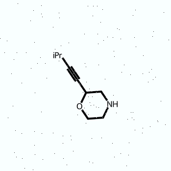 CC(C)C#CC1CNCCO1